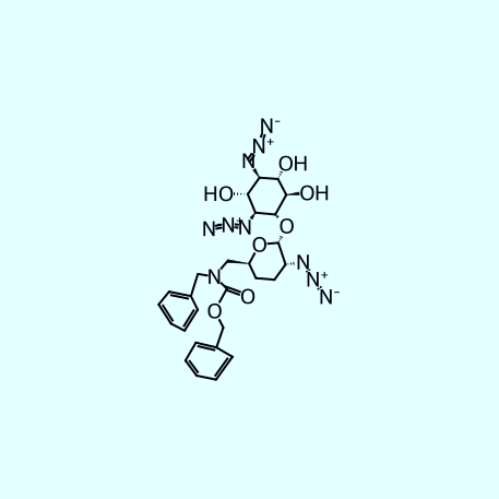 [N-]=[N+]=N[C@H]1[C@H](O)[C@@H](O)[C@H](O[C@H]2O[C@H](CN(Cc3ccccc3)C(=O)OCc3ccccc3)CC[C@H]2N=[N+]=[N-])[C@@H](N=[N+]=[N-])[C@@H]1O